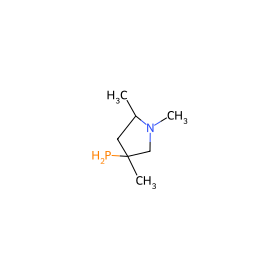 CC1CC(C)(P)CN1C